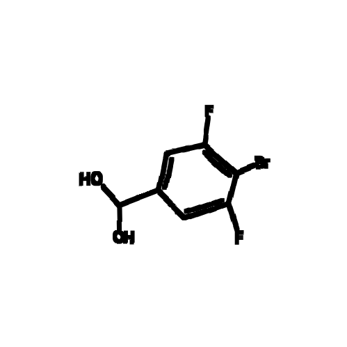 OC(O)c1cc(F)c(Br)c(F)c1